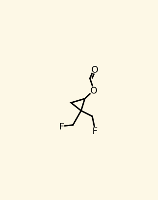 O=COC1CC1(CF)CF